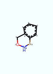 c1ccc2c(c1)CONS2